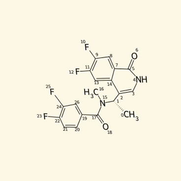 C[C@@H](c1c[nH]c(=O)c2cc(F)c(F)cc12)N(C)C(=O)c1ccc(F)c(F)c1